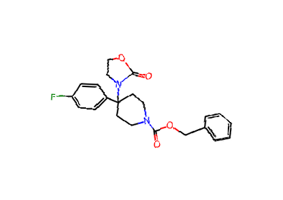 O=C(OCc1ccccc1)N1CCC(c2ccc(F)cc2)(N2CCOC2=O)CC1